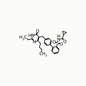 CCCCc1nc(CC)[nH]c(=O)c1Cc1ccc(-c2ccccc2S(=O)(=O)NC(=O)C2CC2)cc1